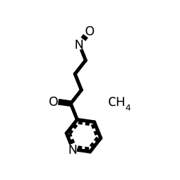 C.O=NCCCC(=O)c1cccnc1